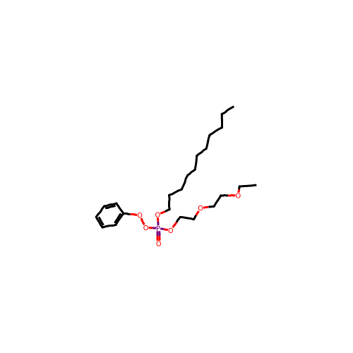 CCCCCCCCCCCOP(=O)(OCCOCCOCC)OOc1ccccc1